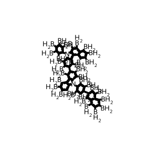 Bc1c(B)c(B)c(-n2c3c(B)c(B)c(-c4c(B)c(B)c5c(c4B)c4c(B)c(B)c(B)c(B)c4n5-c4c(B)c(B)c(-c5c(B)c(B)c6c(B)c(B)c(B)c(B)c6c5B)c(B)c4B)c(B)c3c3c4c(B)c(B)c(B)c(B)c4c(B)c(B)c32)c(B)c1B